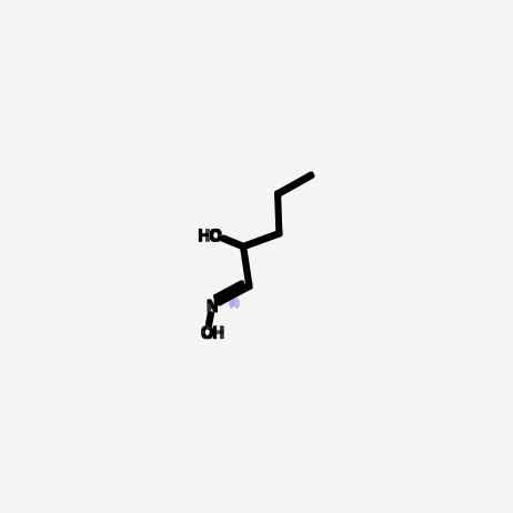 CCCC(O)/C=N/O